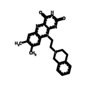 Cc1cc2nc3c(=O)[nH]c(=O)nc-3n(CCN3CCc4ccccc4C3)c2cc1C